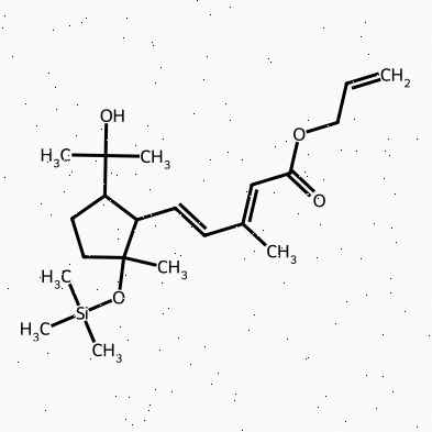 C=CCOC(=O)C=C(C)C=CC1C(C(C)(C)O)CCC1(C)O[Si](C)(C)C